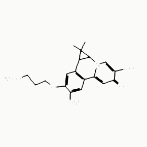 COCCCOc1cc2c(cc1OC)-c1cc(=O)c(C(=O)O)cn1C1C2C1(C)C